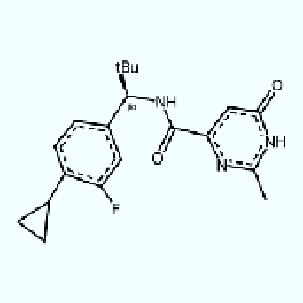 Cc1nc(C(=O)N[C@@H](c2ccc(C3CC3)c(F)c2)C(C)(C)C)cc(=O)[nH]1